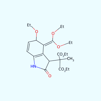 CCOC(=O)C(C)(C(=O)OCC)C1C(=O)NC2=C1C(=C(OCC)OCC)C(OCC)C=C2